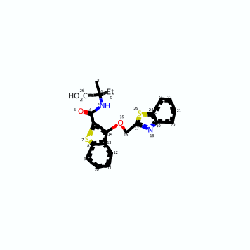 CCC(C)(NC(=O)c1sc2ccccc2c1OCc1nc2ccccc2s1)C(=O)O